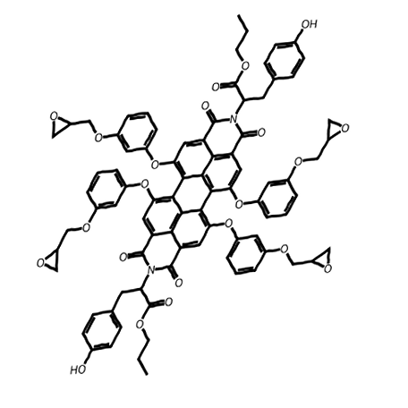 CCCOC(=O)C(Cc1ccc(O)cc1)N1C(=O)c2cc(Oc3cccc(OCC4CO4)c3)c3c4c(Oc5cccc(OCC6CO6)c5)cc5c6c(cc(Oc7cccc(OCC8CO8)c7)c(c7c(Oc8cccc(OCC9CO9)c8)cc(c2c37)C1=O)c64)C(=O)N(C(Cc1ccc(O)cc1)C(=O)OCCC)C5=O